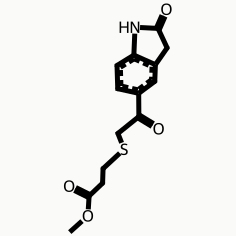 COC(=O)CCSCC(=O)c1ccc2c(c1)CC(=O)N2